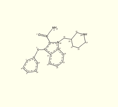 NC(=O)c1c(Sc2ccccc2)c2ccccc2n1CC1CCCNC1